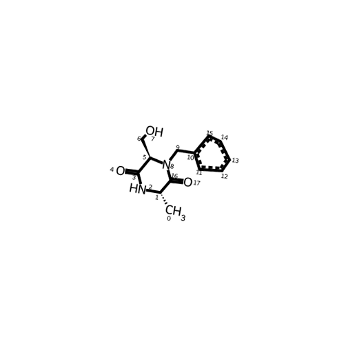 C[C@@H]1NC(=O)[C@@H](CO)N(Cc2ccccc2)C1=O